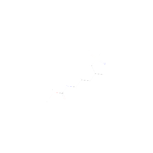 CC(CCCNC(=O)OC(C)(C)C)CS(C)(=N)=O